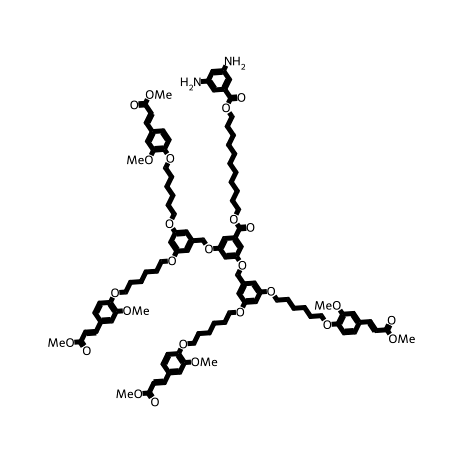 COC(=O)C=Cc1ccc(OCCCCCCOc2cc(COc3cc(OCc4cc(OCCCCCCOc5ccc(C=CC(=O)OC)cc5OC)cc(OCCCCCCOc5ccc(C=CC(=O)OC)cc5OC)c4)cc(C(=O)OCCCCCCCCCCCOC(=O)c4cc(N)cc(N)c4)c3)cc(OCCCCCCOc3ccc(C=CC(=O)OC)cc3OC)c2)c(OC)c1